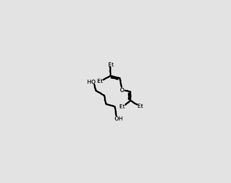 CCC(=COC=C(CC)CC)CC.OCCCCO